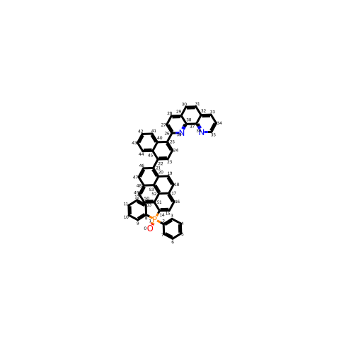 O=P(c1ccccc1)(c1ccccc1)c1ccc2ccc3c(-c4ccc(-c5ccc6ccc7cccnc7c6n5)c5ccccc45)ccc4ccc1c2c43